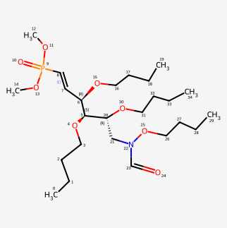 CCCCO[C@@H]([C@@H](/C=C/P(=O)(OC)OC)OCCCC)[C@@H](CN(C=O)OCCCC)OCCCC